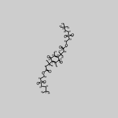 CC1=C(C(C)(C)CC(=O)OCCS(=O)(=O)CCC(C)C)C(=O)C(C)=C(C(C)(C)CC(=O)OCCS(=O)(=O)CCC(C)(C)C)C1=O